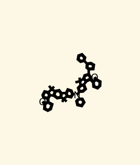 CC1(C)c2cc(N(c3ccccc3)c3ccc4c(c3)C(C)(C)c3cc(-c5cccc(-c6ccccc6)c5)c5oc6ccccc6c5c3-4)ccc2-c2cc3c(cc21)-c1c(ccc2oc4ccccc4c12)C3(C)C